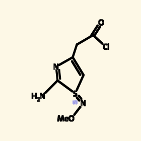 CO/N=S1/C=C(CC(=O)Cl)N=C1N